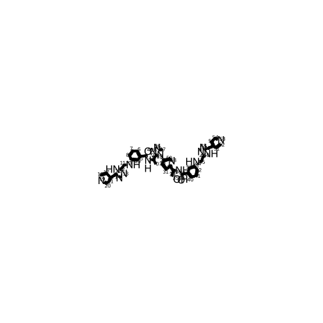 CC(NC(=O)c1cccc(NCc2nnc(-c3ccncc3)[nH]2)c1)c1nncn1-c1ccc(C(CO)NC(=O)c2cccc(NCc3nnc(-c4ccncc4)[nH]3)c2)nc1